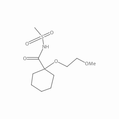 COCCOC1(C(=O)NS(C)(=O)=O)CCCCC1